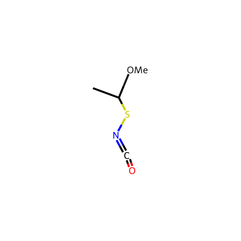 COC(C)SN=C=O